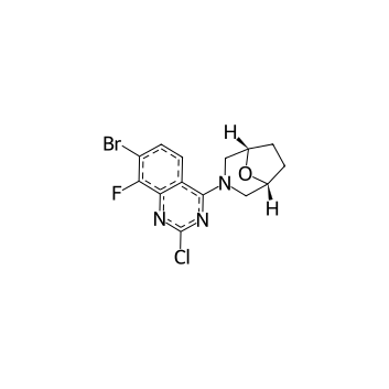 Fc1c(Br)ccc2c(N3C[C@H]4CC[C@@H](C3)O4)nc(Cl)nc12